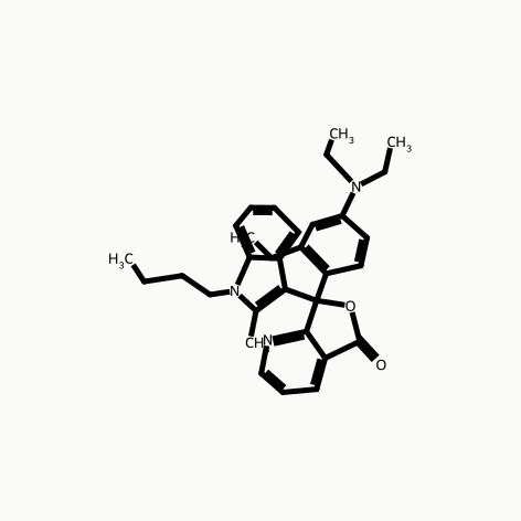 CCCCn1c(C)c(C2(c3ccc(N(CC)CC)cc3CC)OC(=O)c3cccnc32)c2ccccc21